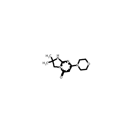 CC1(C)Cn2c(nc(N3CCOCC3)cc2=O)N1